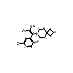 CC(=O)/C(C#N)=C(\c1cc(Cl)ncc1C)N1CCC2(CCC2)CC1